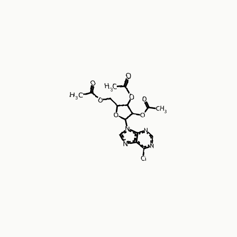 CC(=O)OCC1OC(n2cnc3c(Cl)ncnc32)C(OC(C)=O)C1OC(C)=O